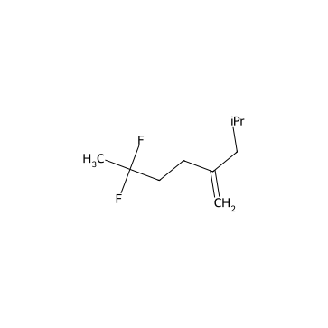 C=C(CCC(C)(F)F)CC(C)C